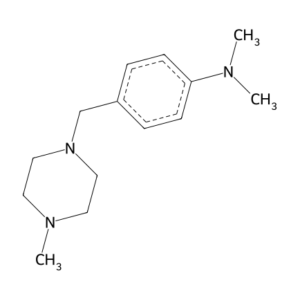 CN1CCN(Cc2ccc(N(C)C)cc2)CC1